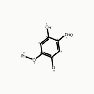 CC(C)Oc1cc(O)c(C=O)cc1Cl